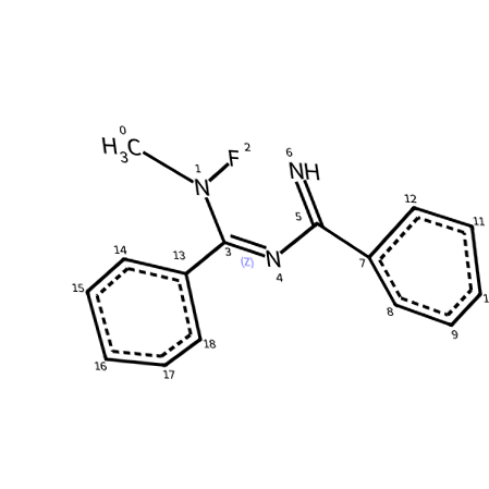 CN(F)/C(=N\C(=N)c1ccccc1)c1ccccc1